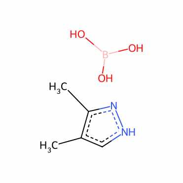 Cc1c[nH]nc1C.OB(O)O